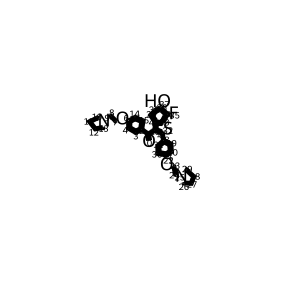 O=C(c1ccc(OCCN2CCCC2)cc1)c1c(-c2ccc(OCCN3CCCC3)cc2)sc2c(F)c(O)ccc12